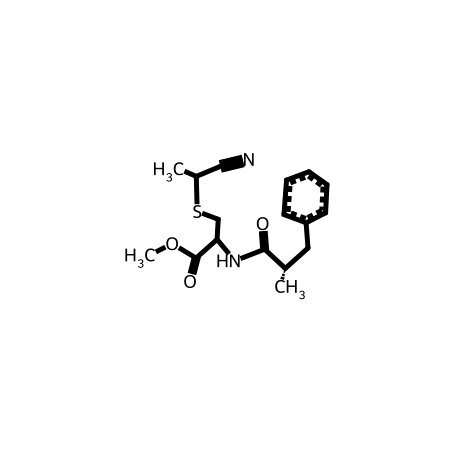 COC(=O)C(CSC(C)C#N)NC(=O)[C@@H](C)Cc1ccccc1